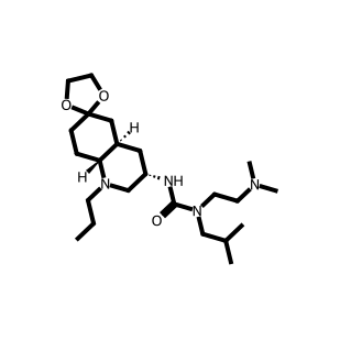 CCCN1C[C@@H](NC(=O)N(CCN(C)C)CC(C)C)C[C@@H]2CC3(CC[C@H]21)OCCO3